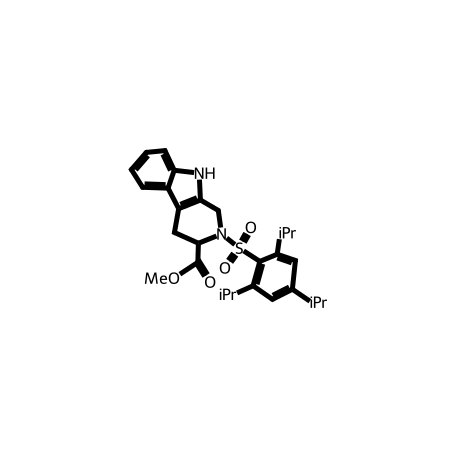 COC(=O)C1Cc2c([nH]c3ccccc23)CN1S(=O)(=O)c1c(C(C)C)cc(C(C)C)cc1C(C)C